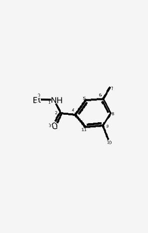 CCNC(=O)c1cc(C)cc(C)c1